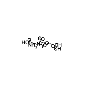 C=CC1=CN(CCCCC(N)C(=O)O)C=C(C(=O)OC)C1CC(=O)OCCc1ccc(O)c(O)c1